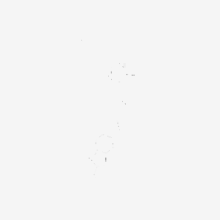 Cc1cc2[nH]c(=O)oc2c(C)c1/C=C/ON1CCC2(CC1)N=C([C@H]1CC[C@H](C)CC1)NC2=O